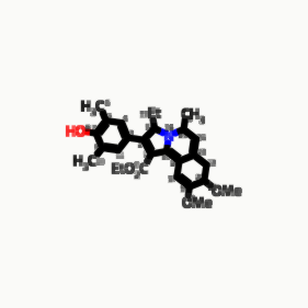 CCOC(=O)C1=C(c2cc(C)c(O)c(C)c2)C(CC)N2C1=C1C=C(OC)C(OC)CC1=CC2C